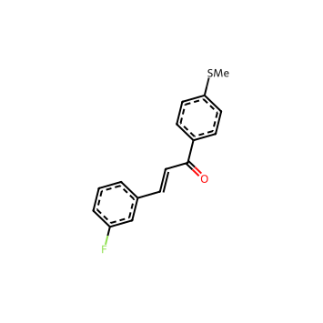 CSc1ccc(C(=O)/C=C/c2cccc(F)c2)cc1